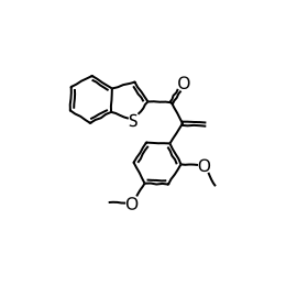 C=C(C(=O)c1cc2ccccc2s1)c1ccc(OC)cc1OC